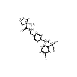 N[C@@]1(C(=O)NCc2ccc(Nc3ccc(F)cc3C(F)(F)F)cn2)CCOC1